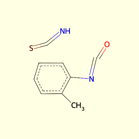 Cc1ccccc1N=C=O.N=C=S